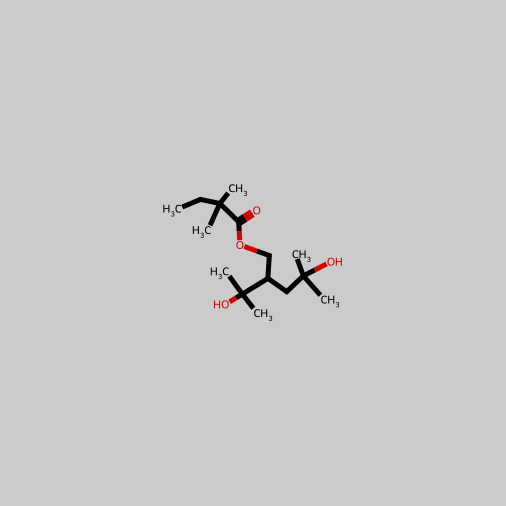 CCC(C)(C)C(=O)OCC(CC(C)(C)O)C(C)(C)O